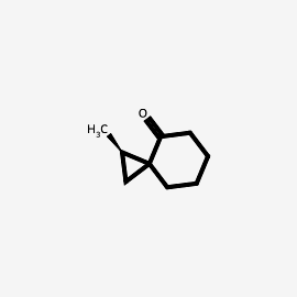 C[C@@H]1CC12CCCCC2=O